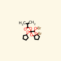 C=C(C)C(=O)OC(OC1CCCC1)(OC1CCCC1)C(OBr)OBr